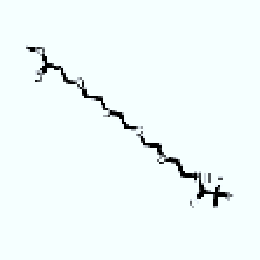 COC(=O)CCOCCOCCOCCOCCNC(=O)C(F)(F)F